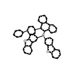 c1ccc(-c2ccc(-c3c(N(c4ccc5c(c4)oc4ccccc45)c4ccc5oc6ccccc6c5c4)c4ccccc4c4ccccc34)cc2)cc1